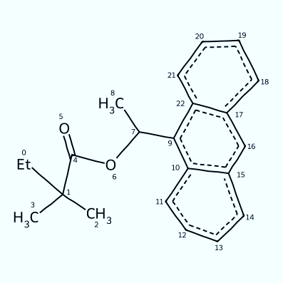 CCC(C)(C)C(=O)OC(C)c1c2ccccc2cc2ccccc12